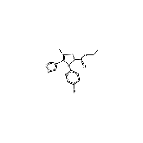 CCOC(=O)C1SC(C)=C(c2cnoc2)N1c1ccc(F)cc1